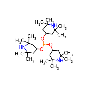 CC1(C)CC(OP(OC2CC(C)(C)NC(C)(C)C2)OC2CC(C)(C)NC(C)(C)C2)CC(C)(C)N1